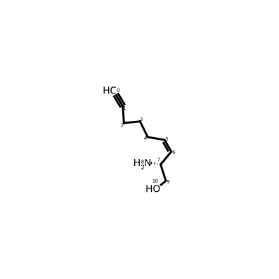 C#CCCC/C=C\[C@@H](N)CO